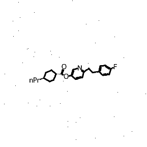 CCC[C@H]1CC[C@H](C(=O)Oc2ccc(CCc3ccc(F)cc3)nc2)CC1